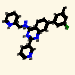 Cc1cc(F)cc(-c2ccc3c(NCc4ccccn4)nc(-c4cccnc4)nc3c2)c1